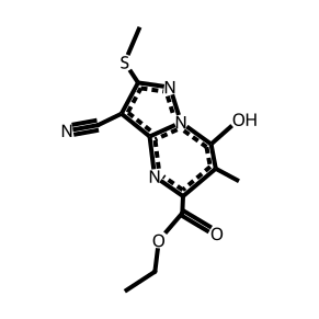 CCOC(=O)c1nc2c(C#N)c(SC)nn2c(O)c1C